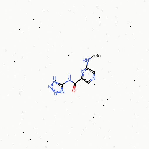 CCCCNc1cncc(C(=O)Nc2nnn[nH]2)n1